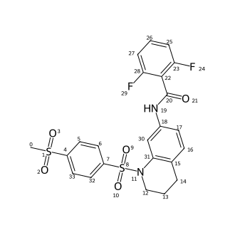 CS(=O)(=O)c1ccc(S(=O)(=O)N2CCCc3ccc(NC(=O)c4c(F)cccc4F)cc32)cc1